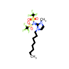 CCCCCCCCn1ccn(C)c1=[N+](S(=O)(=O)C(F)(F)F)S(=O)(=O)C(F)(F)F